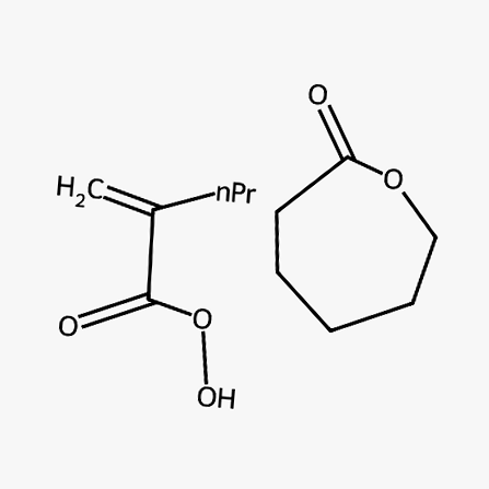 C=C(CCC)C(=O)OO.O=C1CCCCCO1